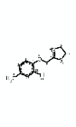 Cc1ccc(OCC2=NCCS2)c(Cl)c1